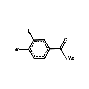 CNC(=O)c1ccc(Br)c(I)c1